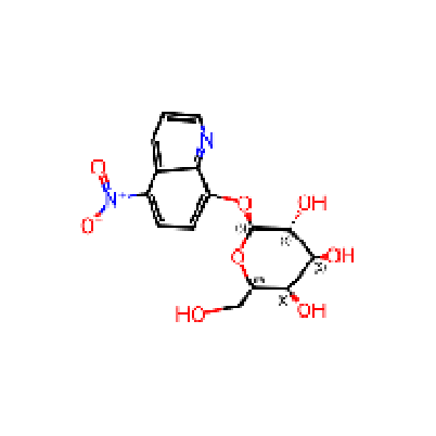 O=[N+]([O-])c1ccc(O[C@@H]2O[C@H](CO)[C@H](O)[C@H](O)[C@H]2O)c2ncccc12